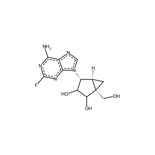 Nc1nc(F)nc2c1ncn2[C@H]1C(O)C(O)[C@]2(CO)C[C@H]12